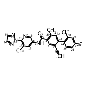 C#Cc1cc(C(=O)Nc2cnc(-n3nccn3)c(Cl)c2)c(C)cc1-c1ccc(F)cc1Cl